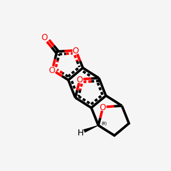 O=c1oc2c3oc(c4c3C3CC[C@H]4O3)c2o1